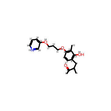 CC(=O)C(C)Cc1ccc(OCCCOc2cccnc2)c(C)c1O